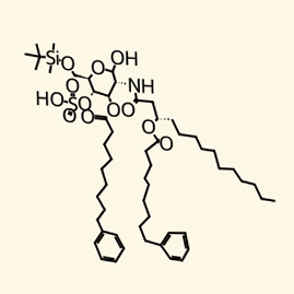 CCCCCCCCCCC[C@@H](CC(=O)N[C@H]1C(O)O[C@H](CO[Si](C)(C)C(C)(C)C)[C@@H](OS(=O)(=O)O)[C@@H]1OC(=O)CCCCCCCCc1ccccc1)OC(=O)CCCCCCCCc1ccccc1